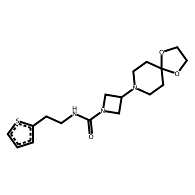 O=C(NCCc1cccs1)N1CC(N2CCC3(CC2)OCCO3)C1